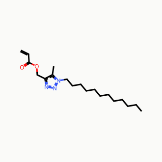 C=CC(=O)OCc1nnn(CCCCCCCCCCCC)c1C